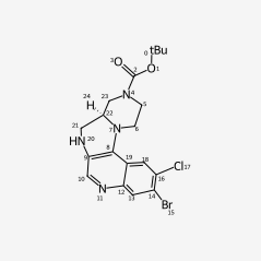 CC(C)(C)OC(=O)N1CCN2c3c(cnc4cc(Br)c(Cl)cc34)NC[C@H]2C1